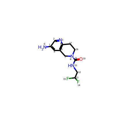 Nc1cnc2c(c1)CN(C(=O)NCC(F)F)CC2